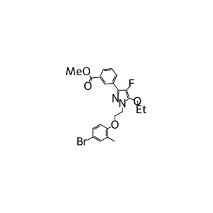 CCOc1c(F)c(-c2cccc(C(=O)OC)c2)nn1CCOc1ccc(Br)cc1C